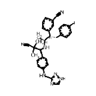 C[C@H](NC(c1ccc(Nc2nc[nH]n2)cc1)C(C)(C)C#N)[C@@H](Cc1ccc(I)cc1)c1cccc(C#N)c1